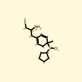 CC1([S+]([O-])C2CCCC2)C=CC(CC(N)CF)=CC1